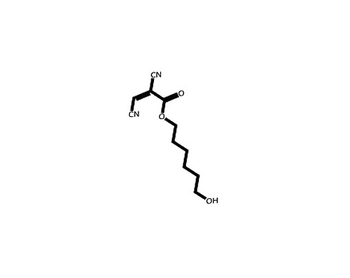 N#CC=C(C#N)C(=O)OCCCCCCO